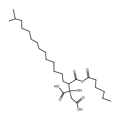 CCCCCC(=O)OC(=O)C(CCCCCCCCCCCCC(C)C)C(O)(CC(=O)O)C(=O)O